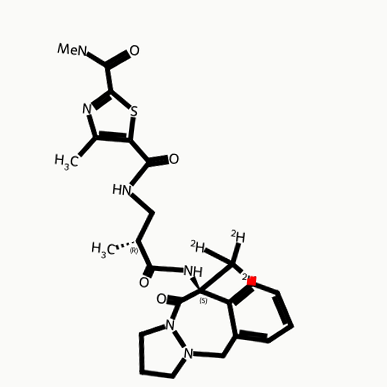 [2H]C([2H])([2H])[C@@]1(NC(=O)[C@H](C)CNC(=O)c2sc(C(=O)NC)nc2C)C(=O)N2CCCN2Cc2ccccc21